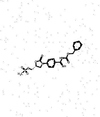 CS(=O)(=O)OC[C@H]1CN(c2ccc(C(=N)NC(=O)OCc3ccccc3)cc2)C(=O)O1